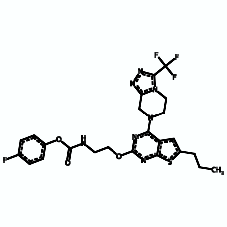 CCCc1cc2c(N3CCn4c(nnc4C(F)(F)F)C3)nc(OCCNC(=O)Oc3ccc(F)cc3)nc2s1